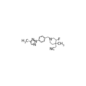 Cc1cnn(-c2ccc(CN3CCC(C)(CC#N)C(F)C3)cc2)n1